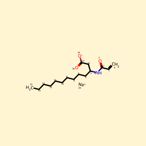 C=CC(=O)NC(CCCCCCCCCC)CC(=O)[O-].[Na+]